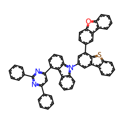 c1ccc(-c2cc(-c3cccc4c3c3ccccc3n4-c3cc(-c4ccc5oc6ccccc6c5c4)c4sc5ccccc5c4c3)nc(-c3ccccc3)n2)cc1